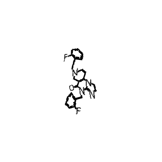 O=C1C2=C(CCN(Cc3ccccc3F)C2)N2CCN=C2N1Cc1ccccc1F